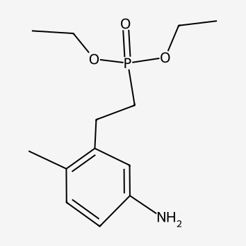 CCOP(=O)(CCc1cc(N)ccc1C)OCC